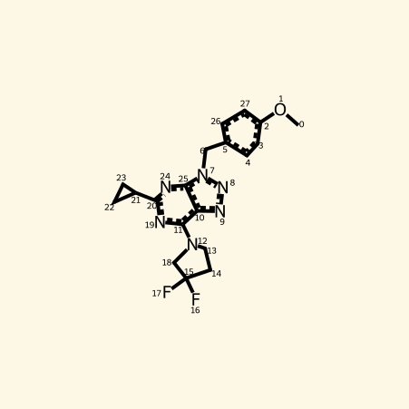 COc1ccc(Cn2nnc3c(N4CCC(F)(F)C4)nc(C4CC4)nc32)cc1